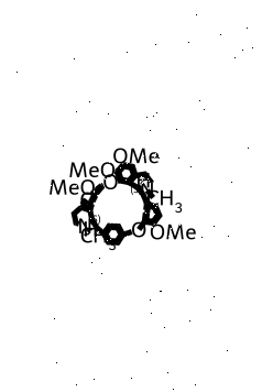 COc1ccc2cc1Oc1ccc(cc1)C[C@H]1c3cc(OC)c(cc3CCN1C)Oc1c(OC)c(OC)cc3c1[C@H](C2)N(C)CC3